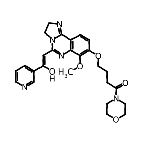 COc1c(OCCCC(=O)N2CCOCC2)ccc2c1N=C(C=C(O)c1cccnc1)N1CCN=C21